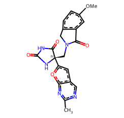 COc1ccc2c(c1)C(=O)N(C[C@@]1(c3cc4cnc(C)nc4o3)NC(=O)NC1=O)C2